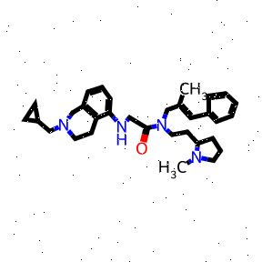 CC(=Cc1ccccc1)CN(CCC1CCCN1C)C(=O)CNc1cccc2c1CCN(CC1CC1)C2